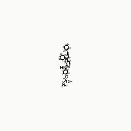 CN(C)CC(O)COc1ccc(Nc2nccc(N(CC#Cc3ccccc3)c3ccccc3)n2)cc1